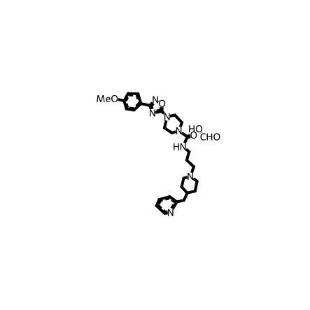 COc1ccc(-c2noc(N3CCN(C(=O)NCCCN4CCC(Cc5ccccn5)CC4)CC3)n2)cc1.O=CO